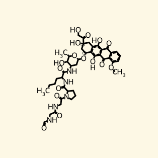 CCCCC(NC(=O)C1CCCN1C(=O)CNC(=O)CNC=O)C(=O)NC1CC(O[C@H]2C[C@](O)(C(=O)CO)Cc3c(O)c4c(c(O)c32)C(=O)c2c(OC)cccc2C4=O)OC(C)C1O